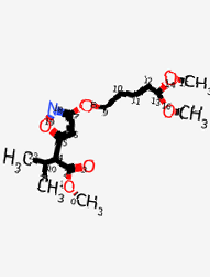 COC(=O)C(c1cc(OCCCCC(OC)OC)no1)C(C)C